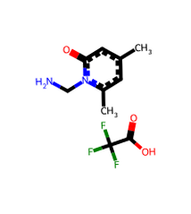 Cc1cc(C)n(CN)c(=O)c1.O=C(O)C(F)(F)F